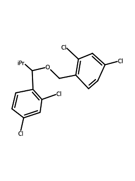 CC(C)C(OCc1ccc(Cl)cc1Cl)c1ccc(Cl)cc1Cl